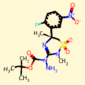 CN1C(N(N)C(=O)OC(C)(C)C)=N[C@](C)(c2cc([N+](=O)[O-])ccc2F)CS1(=O)=O